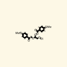 [CH2]COC[C](OOC(=O)c1ccc(OC)cc1)OOC(=O)c1ccc(OC)cc1